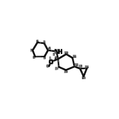 COC1(NC2CCCCC2)CCC(C2CC2)CC1